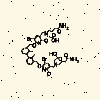 COc1nc(OCc2cccc(-c3cccc(COc4nc(OC)c(CN(CCCC(N)=O)CC(=O)O)cc4Br)c3C)c2C)c(Br)cc1CN(CCCC(N)=O)CC(=O)O